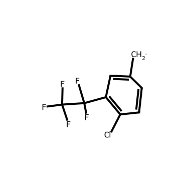 [CH2]c1ccc(Cl)c(C(F)(F)C(F)(F)F)c1